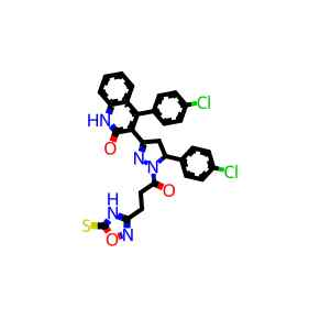 O=C(CCc1noc(=S)[nH]1)N1N=C(c2c(-c3ccc(Cl)cc3)c3ccccc3[nH]c2=O)CC1c1ccc(Cl)cc1